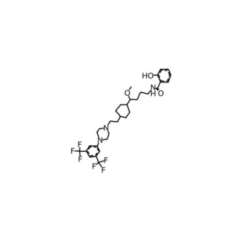 COC(CCCNC(=O)c1ccccc1O)C1CCC(CCN2CCN(c3cc(C(F)(F)F)cc(C(F)(F)F)c3)CC2)CC1